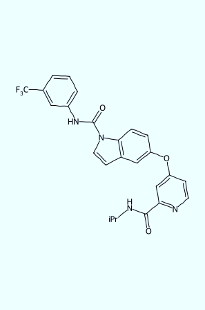 CC(C)NC(=O)c1cc(Oc2ccc3c(ccn3C(=O)Nc3cccc(C(F)(F)F)c3)c2)ccn1